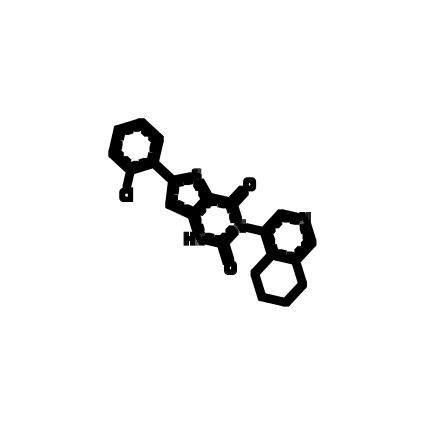 O=c1[nH]c2cc(-c3ccccc3Cl)sc2c(=O)n1-c1cncc2c1CCCC2